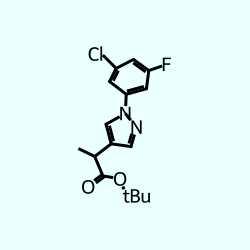 CC(C(=O)OC(C)(C)C)c1cnn(-c2cc(F)cc(Cl)c2)c1